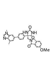 COc1ccc2c(c1)C(=O)N(C[C@@]1(c3ccc(-c4cc(C)c5ncn(C)c5c4)cc3)NC(=O)NC1=O)C2